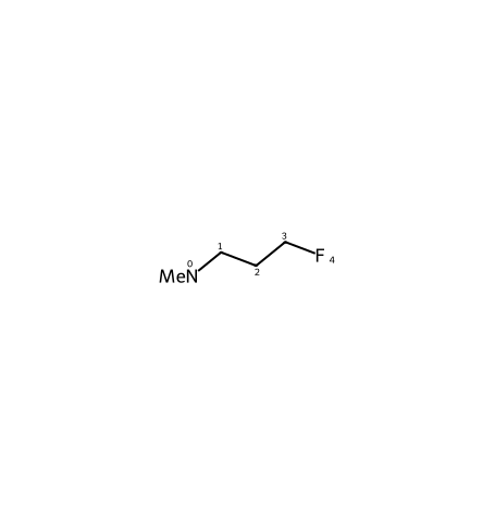 [CH2]NCCCF